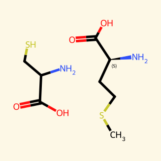 CSCC[C@H](N)C(=O)O.NC(CS)C(=O)O